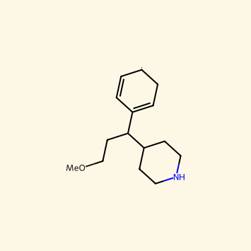 COCCC(C1=CC[CH]C=C1)C1CCNCC1